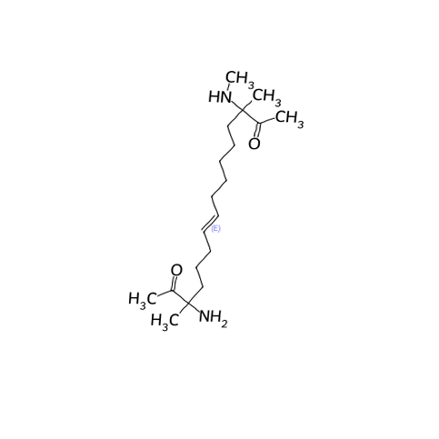 CNC(C)(CCCCC/C=C/CCCC(C)(N)C(C)=O)C(C)=O